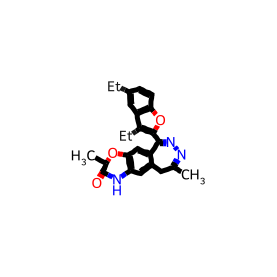 CCc1ccc2oc(C3=NN=C(C)Cc4cc5c(cc43)OC(C)C(=O)N5)c(CC)c2c1